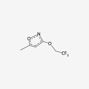 Cc1cc(OCC(F)(F)F)no1